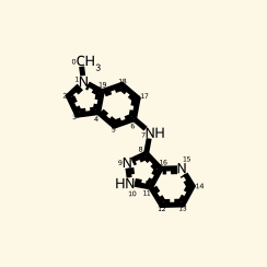 Cn1ccc2cc(Nc3n[nH]c4cccnc34)ccc21